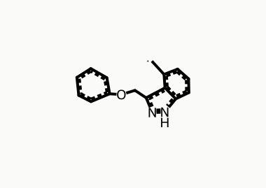 [CH2]c1cccc2[nH]nc(COc3ccccc3)c12